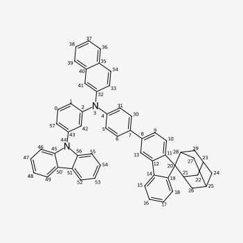 c1cc(N(c2ccc(-c3ccc4c(c3)-c3ccccc3C43C4CC5CC(C4)CC3C5)cc2)c2ccc3ccccc3c2)cc(-n2c3ccccc3c3ccccc32)c1